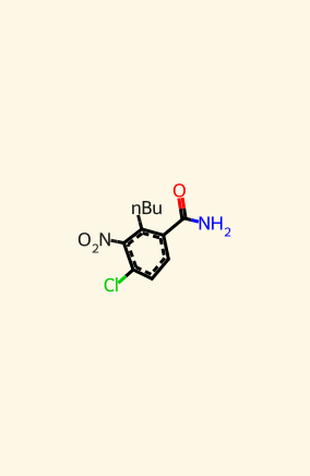 CCCCc1c(C(N)=O)ccc(Cl)c1[N+](=O)[O-]